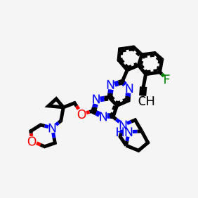 C#Cc1c(F)ccc2cccc(-c3ncc4c(N5CC6CCC(C5)N6)nc(OCC5(CN6CCOCC6)CC5)nc4n3)c12